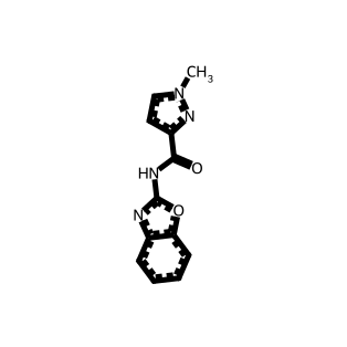 Cn1ccc(C(=O)Nc2nc3ccccc3o2)n1